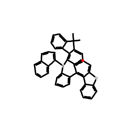 CC1(C)c2ccccc2-c2c(N(c3ccccc3-c3cccc4oc5ccccc5c34)c3cccc4ccccc34)cccc21